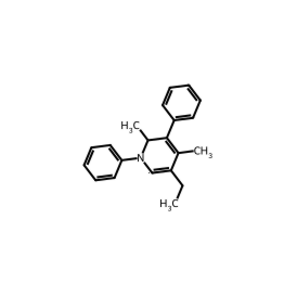 CCC1=[C]N(c2ccccc2)C(C)C(c2ccccc2)=C1C